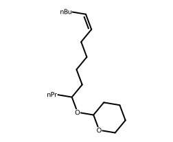 [CH2]CCC/C=C\CCCCC(CCC)OC1CCCCO1